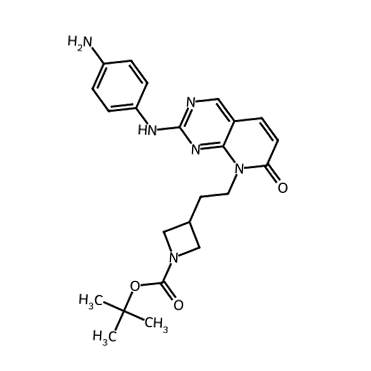 CC(C)(C)OC(=O)N1CC(CCn2c(=O)ccc3cnc(Nc4ccc(N)cc4)nc32)C1